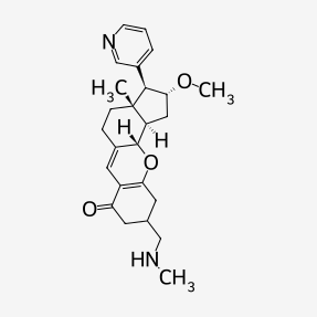 CNCC1CC(=O)C2=C(C1)O[C@@H]1C(=C2)CC[C@@]2(C)[C@H]1C[C@@H](OC)[C@@H]2c1cccnc1